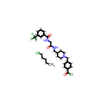 CCCCCCl.O=C(CNC(=O)c1cccc(C(F)(F)F)c1)NCC1CCN(Cc2ccc(C(=O)Cl)cc2)CC1